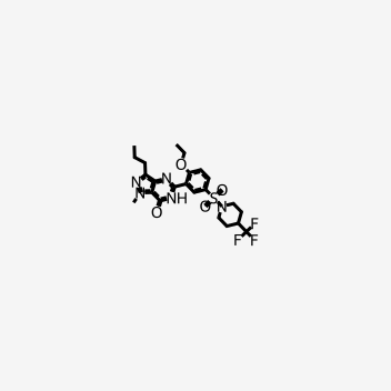 CCCc1nn(C)c2c(=O)[nH]c(-c3cc(S(=O)(=O)N4CCC(C(F)(F)F)CC4)ccc3OCC)nc12